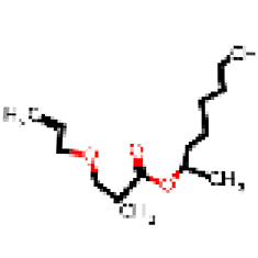 C=CCOCC(=C)C(=O)OC(C)CCCCCC